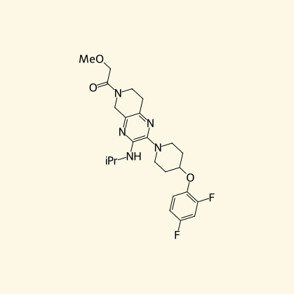 COCC(=O)N1CCc2nc(N3CCC(Oc4ccc(F)cc4F)CC3)c(NC(C)C)nc2C1